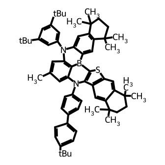 Cc1cc2c3c(c1)N(c1ccc(-c4ccc(C(C)(C)C)cc4)cc1)c1c(sc4cc5c(cc14)C(C)(C)CCC5(C)C)B3c1cc3c(cc1N2c1cc(C(C)(C)C)cc(C(C)(C)C)c1)C(C)(C)CCC3(C)C